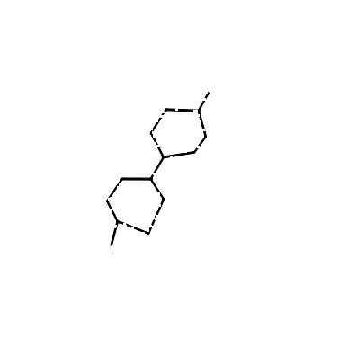 O=CC1CCC(C2CCC(S)CC2)CC1